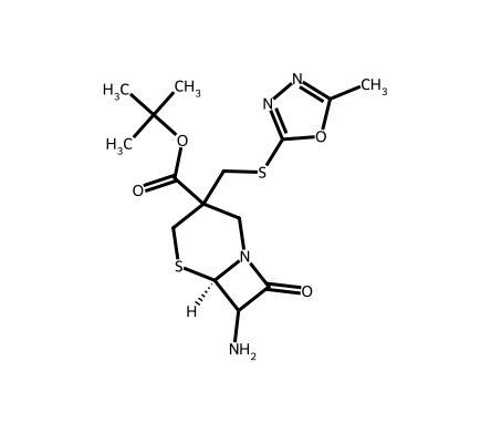 Cc1nnc(SCC2(C(=O)OC(C)(C)C)CS[C@@H]3C(N)C(=O)N3C2)o1